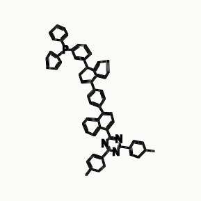 CC1=CC=C(c2nc(C3=CCC(C)C=C3)nc(-c3ccc(-c4ccc(C5=CCC(c6cccc(P(c7ccccc7)c7ccccc7)c6)c6ccccc65)cc4)c4ccccc34)n2)CC1